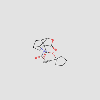 CCC(C)C(=O)NC1C2CC3C1OC(=O)C3(C(=O)OC1(CC)CCCC1)C2